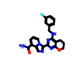 NC(=O)c1cccn2c(-c3nc(NCc4cccc(F)c4)c4c(n3)OCCC4)ncc12